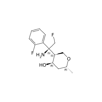 C[C@@H]1C[C@@H](O)[C@@H]([C@@](N)(CF)c2ccccc2F)CO1